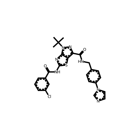 CC(C)(C)n1nc(C(=O)NCc2ccc(-n3ccnc3)cc2)c2sc(NC(=O)c3cccc(Cl)c3)nc21